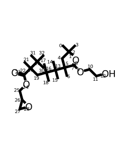 CC(C)(C)CC(C)(C(=O)OCCO)C(C)(C)C(C)(C)CC(C)(C(=O)OCC1CO1)C(C)(C)C